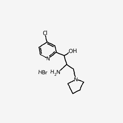 Br.NC(CN1CCCC1)C(O)c1cc(Cl)ccn1